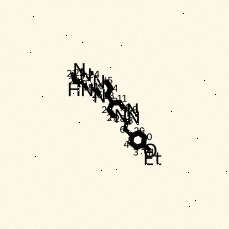 CCOc1ccc(Cc2nnc3cc(-c4ccnc(Nc5ccnn5C)n4)ccn23)cc1